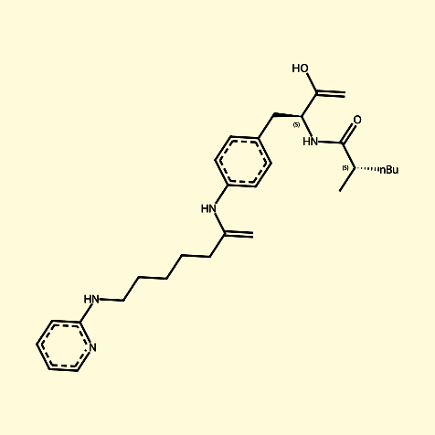 C=C(CCCCCNc1ccccn1)Nc1ccc(C[C@H](NC(=O)[C@@H](C)CCCC)C(=C)O)cc1